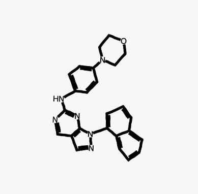 c1ccc2c(-n3ncc4cnc(Nc5ccc(N6CCOCC6)cc5)nc43)cccc2c1